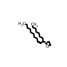 CCCCCCCC/C=C\C(CCCCCCC)N1CCO1